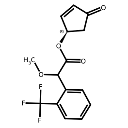 COC(C(=O)O[C@H]1C=CC(=O)C1)c1ccccc1C(F)(F)F